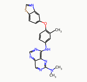 Cc1cc(Nc2ncnc3cnc(N(C)C)nc23)ccc1Oc1ccc2scnc2c1